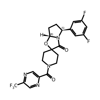 O=C(c1cnc(C(F)(F)F)cn1)N1CCC2(CC1)O[C@@H]1CC[C@@H](c3cc(F)cc(F)c3)N1C2=O